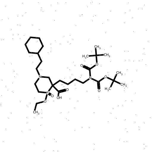 CCOP1(=O)CCN(CCC2CCCCC2)CC1(CCCCN(C(=O)OC(C)(C)C)C(=O)OC(C)(C)C)C(=O)O